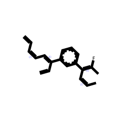 C=C/C=C\C=C(/C=C)c1cccc(C(/C=C\C)=C(/C)F)c1